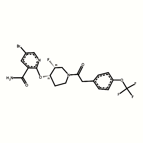 NC(=O)c1cc(Br)cnc1O[C@H]1CCN(C(=O)Cc2ccc(OC(F)(F)F)cc2)C[C@H]1F